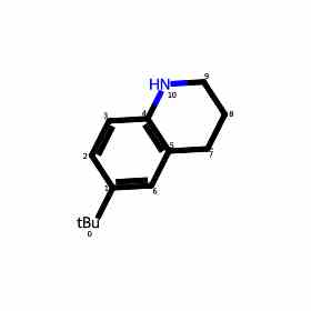 CC(C)(C)c1ccc2c(c1)[CH]CCN2